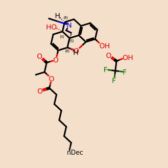 CCCCCCCCCCCCCCCCCC(=O)OC(C)C(=O)OC1=CC[C@@]2(O)[C@H]3Cc4ccc(O)c5c4[C@@]2(CCN3C)[C@H]1O5.O=C(O)C(F)(F)F